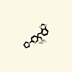 Cl.NCC1(Cc2cccc3c2OCO3)C=CC(N2CCCC2)=NC1